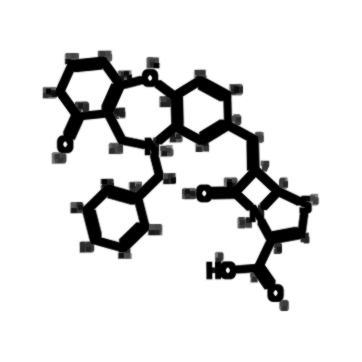 O=C(O)C1=CSC2C(=Cc3ccc4c(c3)N(Cc3ccccc3)CC3=C(C=CCC3=O)O4)C(=O)N12